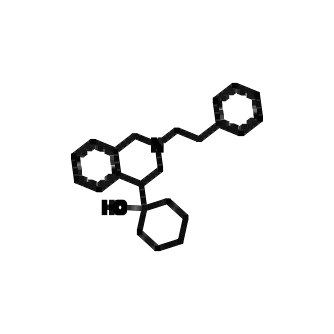 OC1(C2CN(CCc3ccccc3)Cc3ccccc32)CCCCC1